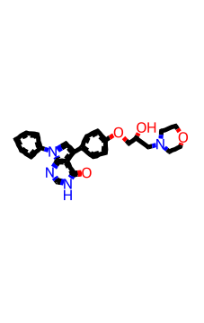 O=c1[nH]cnc2c1c(-c1ccc(OCC(O)CN3CCOCC3)cc1)cn2-c1ccccc1